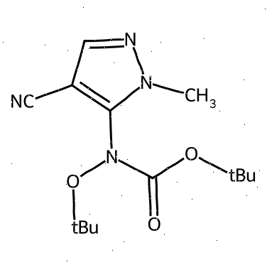 Cn1ncc(C#N)c1N(OC(C)(C)C)C(=O)OC(C)(C)C